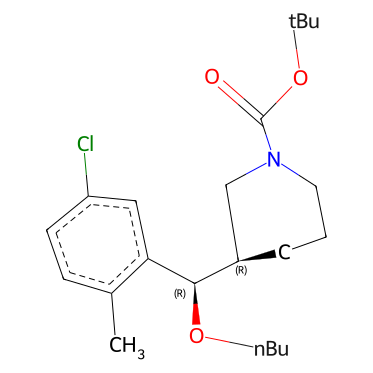 CCCCO[C@@H](c1cc(Cl)ccc1C)[C@@H]1CCCN(C(=O)OC(C)(C)C)C1